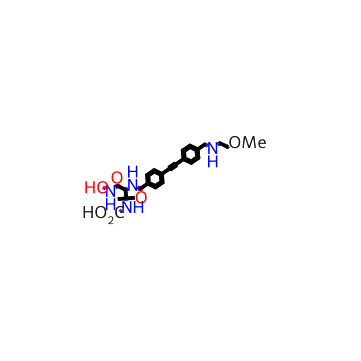 COCCNCc1ccc(C#Cc2ccc(C(=O)NC(C(=O)NO)C(C)(C)NC(=O)O)cc2)cc1